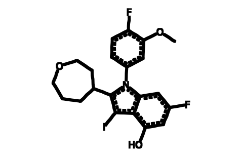 COc1cc(-n2c(C3CCCOCC3)c(I)c3c(O)cc(F)cc32)ccc1F